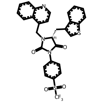 O=C1[C@@H](Cc2csc3ccccc23)N(Cc2ccnc3ccccc23)C(=O)N1c1ccc(S(=O)(=O)C(F)(F)F)cc1